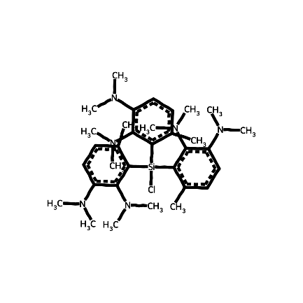 Cc1ccc(N(C)C)c(N(C)C)c1[Si](Cl)(c1c(C)ccc(N(C)C)c1N(C)C)c1c(C)ccc(N(C)C)c1N(C)C